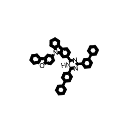 c1ccc(-c2ccc(C3=NC(c4cccc(-c5ccccc5)c4)=NC(c4ccc5c6ccccc6n(-c6ccc7oc8ccccc8c7c6)c5c4)N3)cc2)cc1